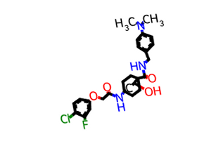 CN(C)c1ccc(CNC(=O)C23CCC(NC(=O)COc4ccc(Cl)c(F)c4)(CC2)CC3O)cc1